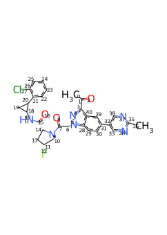 CC(=O)c1nn(CC(=O)N2C[C@H](F)C[C@@H]2C(=O)N[C@H]2CC2c2ccccc2Cl)c2ccc(-c3cnc(C)nc3)cc12